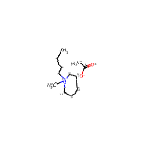 CC(=O)[O-].CCCC[N+]1(C)CCCCC1